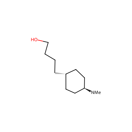 CN[C@H]1CC[C@H](CCCCO)CC1